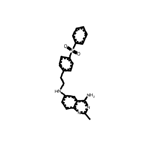 Cc1nc(N)c2cc(NCCc3ccc(S(=O)(=O)c4ccccc4)cc3)ccc2n1